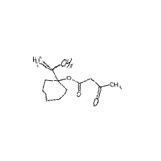 C=C(C)C1(OC(=O)CC(C)=O)CCCCC1